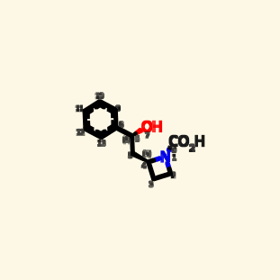 O=C(O)N1CC[C@H]1C[C@H](O)c1ccccc1